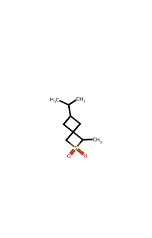 CC(C)C1CC2(C1)CS(=O)(=O)C2C